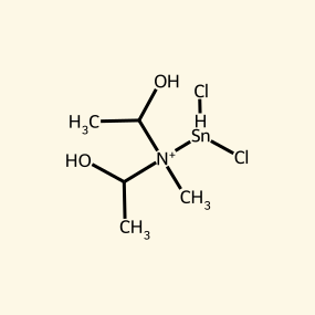 CC(O)[N+](C)(C(C)O)[SnH]([Cl])[Cl]